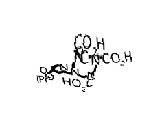 CC(C)OC(=O)c1ccnc(CN2CCN(CC(=O)O)CCN(CC(=O)O)CCN(CC(=O)O)CC2)c1